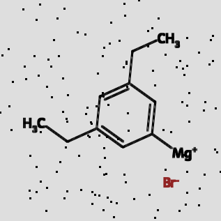 CCc1c[c]([Mg+])cc(CC)c1.[Br-]